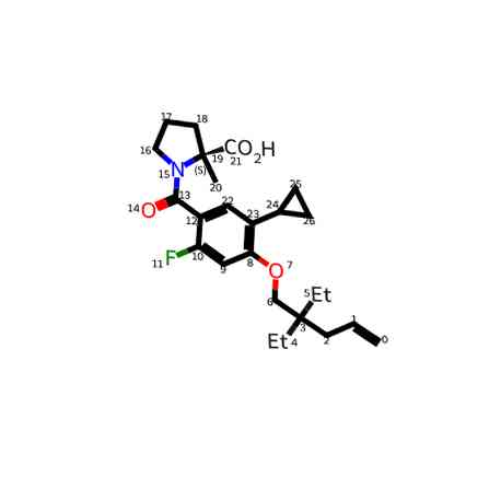 C=CCC(CC)(CC)COc1cc(F)c(C(=O)N2CCC[C@@]2(C)C(=O)O)cc1C1CC1